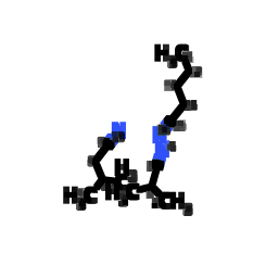 CC(C)C#N.CC(C)CC#N.CCCCC#N